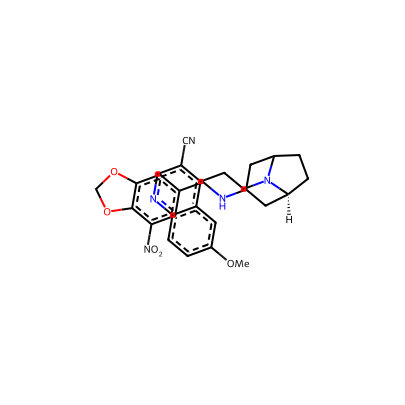 COc1ccc2ncc(C#N)c(CCN3C4CC[C@H]3CC(NCc3cc5c(c([N+](=O)[O-])c3)OCO5)C4)c2c1